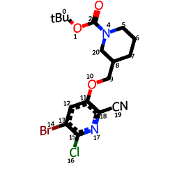 CC(C)(C)OC(=O)N1CCCC(COc2cc(Br)c(Cl)nc2C#N)C1